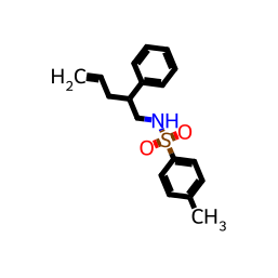 C=CCC(CNS(=O)(=O)c1ccc(C)cc1)c1ccccc1